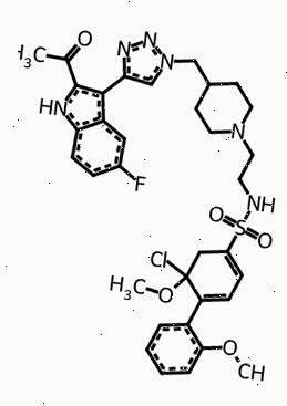 COc1ccccc1C1=CC=C(S(=O)(=O)NCCN2CCC(Cn3cc(-c4c(C(C)=O)[nH]c5ccc(F)cc45)nn3)CC2)CC1(Cl)OC